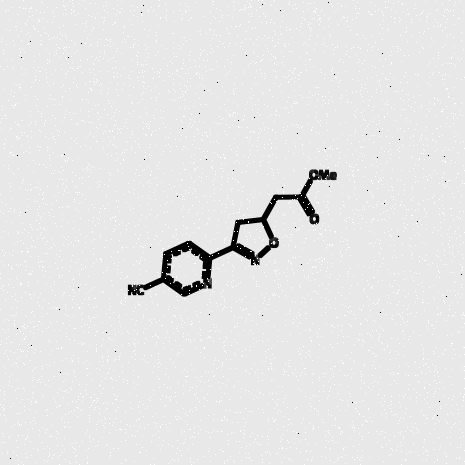 COC(=O)CC1CC(c2ccc(C#N)cn2)=NO1